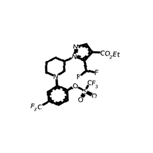 CCOC(=O)c1cnn(C2CCCN(c3cc(C(F)(F)F)ccc3OS(=O)(=O)C(F)(F)F)C2)c1C(F)F